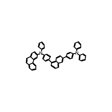 c1ccc(N(c2ccccc2)c2ccc(-c3ccc4c(-c5ccc(N(c6ccccc6)c6ccc7ccc8ccccc8c7c6)cc5)cccc4c3)cc2)cc1